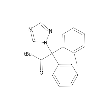 Cc1ccccc1C(C(=O)C(C)(C)C)(c1ccccc1)n1cncn1